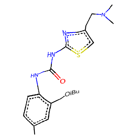 Cc1ccc(NC(=O)Nc2nc(CN(C)C)cs2)c(OCC(C)C)c1